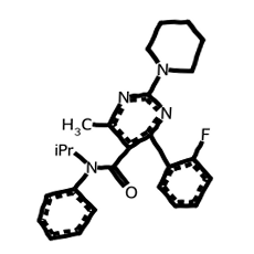 Cc1nc(N2CCCCC2)nc(-c2ccccc2F)c1C(=O)N(c1ccccc1)C(C)C